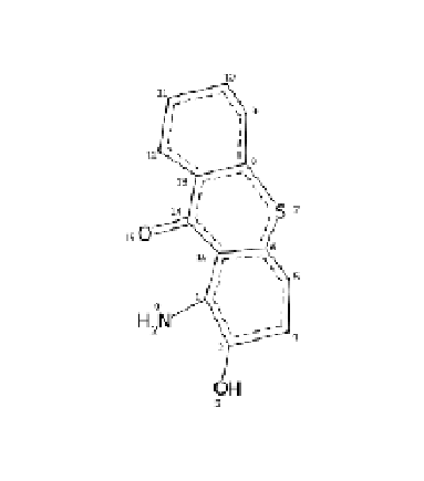 Nc1c(O)ccc2sc3ccccc3c(=O)c12